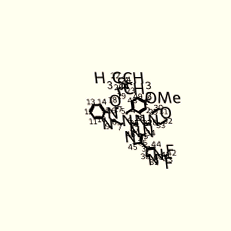 COc1ccc(CN(Cc2nc3ccccc3n2COCC[Si](C)(C)C)c2nc(N3CCOCC3)nc3c(-c4cnn(C(F)F)c4)cnn23)cc1